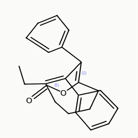 CC/C1=C(c2ccccc2)\C(c2ccccc2)=C(/OC=O)CCCC1